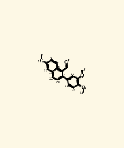 COc1ccc2c(C=O)c(-c3ccc(OC)c(OC)c3)ccc2c1